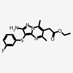 CCOC(=O)Cc1c(C)nc2c(Sc3cccc(F)c3)c(N)nn2c1C